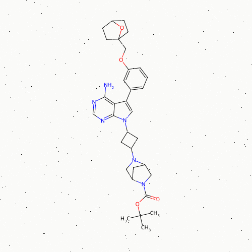 CC(C)(C)OC(=O)N1CC2CC1CN2C1CC(n2cc(-c3cccc(OCC45CCC(CC4)O5)c3)c3c(N)ncnc32)C1